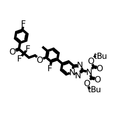 Cc1ccc(-c2ccn3nc(N(C(=O)OC(C)(C)C)C(=O)OC(C)(C)C)nc3c2)c(F)c1OCCC(F)(F)C(=O)c1ccc(F)cc1